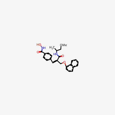 COCC(C)NC(=O)C(=Cc1ccc(C(=O)NO)cc1)COc1cccc2ccccc12